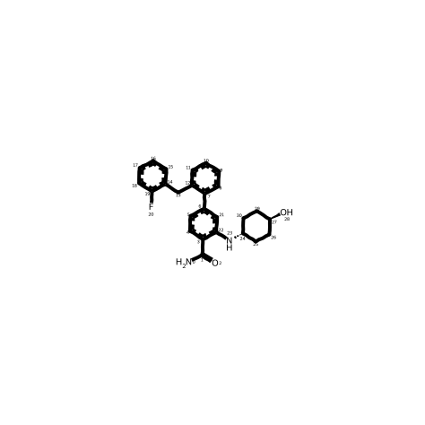 NC(=O)c1ccc(-c2ccccc2Cc2ccccc2F)cc1N[C@H]1CC[C@H](O)CC1